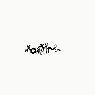 CCOC(=O)CCNC(=O)[C@@H]1O[PH](O)(Oc2ccc([N+](=O)[O-])cc2)OCC1(C)C